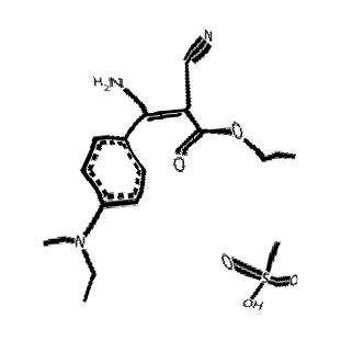 CCOC(=O)C(C#N)=C(N)c1ccc(N(C)CC)cc1.CS(=O)(=O)O